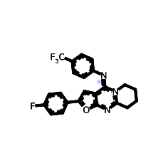 Fc1ccc(-c2cc3/c(=N\c4ccc(C(F)(F)F)cc4)n4c(nc3o2)CCCC4)cc1